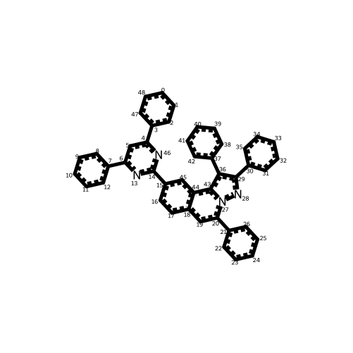 c1ccc(-c2cc(-c3ccccc3)nc(-c3ccc4cc(-c5ccccc5)n5nc(-c6ccccc6)c(-c6ccccc6)c5c4c3)n2)cc1